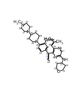 COc1cc(/C(=C/I)c2nc(NC3CCOCC3)cnc2C=C(C)C)ccc1N1CCC(N2CCN(C)CC2)CC1